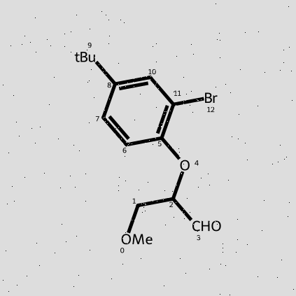 COCC(C=O)Oc1ccc(C(C)(C)C)cc1Br